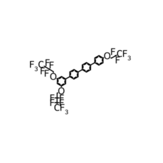 FC(F)(F)C(F)(F)COc1ccc(-c2ccc(-c3ccc(-c4cc(OCC(F)(F)C(F)(F)C(F)(F)F)cc(OCC(F)(F)C(F)(F)C(F)(F)F)c4)cc3)cc2)cc1